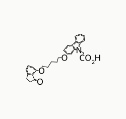 O=C(O)Cn1c2ccccc2c2ccc(OCCCCCOc3cccc4c3C(=O)CC4)cc21